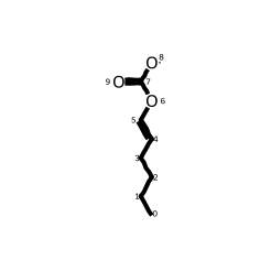 CCCCC=COC([O])=O